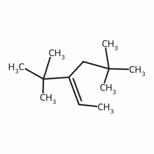 C/C=C(\CC(C)(C)C)C(C)(C)C